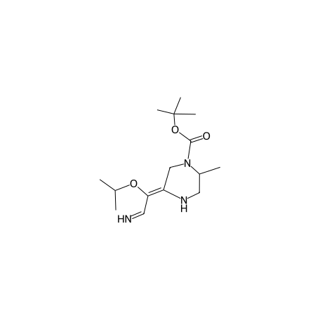 CC(C)O/C(C=N)=C1\CN(C(=O)OC(C)(C)C)C(C)CN1